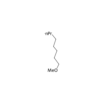 CC[CH]CCCCCOC